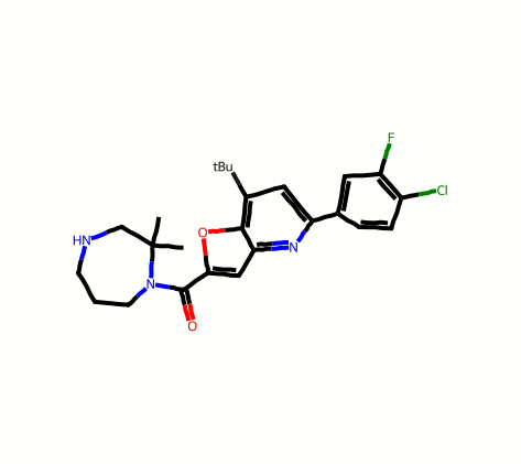 CC(C)(C)c1cc(-c2ccc(Cl)c(F)c2)nc2cc(C(=O)N3CCCNCC3(C)C)oc12